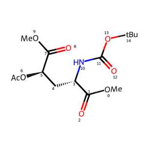 COC(=O)[C@H](C[C@@H](OC(C)=O)C(=O)OC)NC(=O)OC(C)(C)C